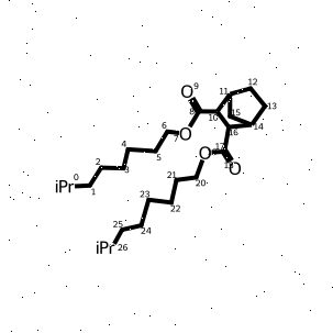 CC(C)CCCCCCOC(=O)C1C2CCC(C2)C1C(=O)OCCCCCCC(C)C